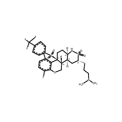 CN(C)CCC[C@@H]1C[C@@H]2[C@@H](CC[C@@]3(S(=O)(=O)c4ccc(C(F)(F)F)cc4)c4c(F)ccc(F)c4OC[C@@H]23)NS1(=O)=O